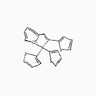 C1=C(c2cccs2)[B-](c2cccs2)(c2cccs2)[o+]2cccc21